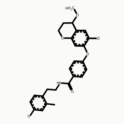 Cc1cc(Cl)ccc1CCNC(=O)c1ccc(Oc2cc3c(cc2Cl)C(OC(=O)O)CCO3)cc1